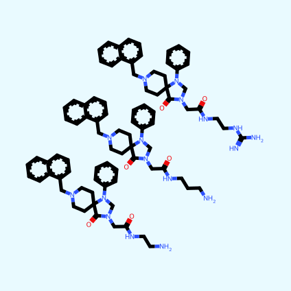 N=C(N)NCCNC(=O)CN1CN(c2ccccc2)C2(CCN(Cc3cccc4ccccc34)CC2)C1=O.NCCCNC(=O)CN1CN(c2ccccc2)C2(CCN(Cc3cccc4ccccc34)CC2)C1=O.NCCNC(=O)CN1CN(c2ccccc2)C2(CCN(Cc3cccc4ccccc34)CC2)C1=O